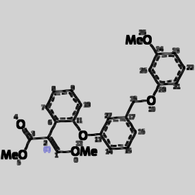 CO/C=C(/C(=O)OC)c1ccccc1Oc1cccc(COc2cccc(OC)c2)c1